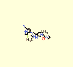 C[C@@H]1CN(c2ccc(C#N)n3ncc(F)c23)Cc2c3c(nn21)CN(CC(=O)N1CCC1)[C@@H](C)C3